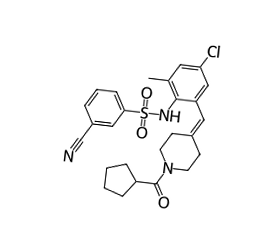 Cc1cc(Cl)cc(C=C2CCN(C(=O)C3CCCC3)CC2)c1NS(=O)(=O)c1cccc(C#N)c1